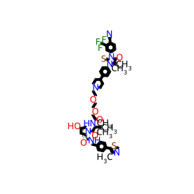 Cc1ncsc1-c1ccc(CNC(=O)[C@@H]2C[C@@H](O)CN2C(=O)C(NC(=O)COCCOCCN2CCC(c3ccc(N4C(=S)N(c5ccc(C#N)c(C(F)(F)F)c5)C(=O)C4(C)C)cc3)CC2)C(C)(C)C)cc1